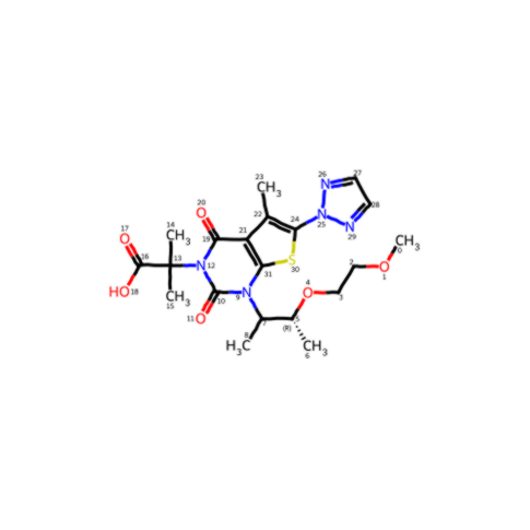 COCCO[C@H](C)C(C)n1c(=O)n(C(C)(C)C(=O)O)c(=O)c2c(C)c(-n3nccn3)sc21